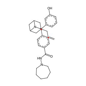 C=CCN1CC2CC(C1)N2C(c1ccc(C(=O)NN2CCCCCC2)cc1)c1cccc(O)c1